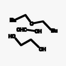 CCC(C)COCC(C)CC.O=CO.OCCO